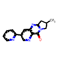 CC1Cc2nc3cc(-c4ccccn4)cnc3c(=O)n2C1